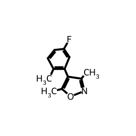 Cc1ccc(F)cc1-c1c(C)noc1C